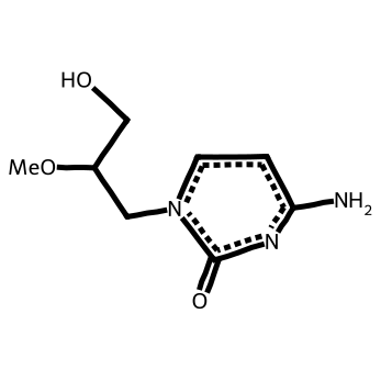 [CH2]OC(CO)Cn1ccc(N)nc1=O